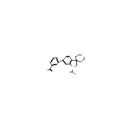 CC(C)C(C)N1CC2(CCOCC2)c2ccc(-c3cccc(C(N)=O)c3)cc21